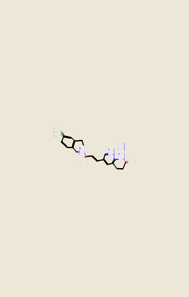 O=C1CCc2cc(C=CC(=O)N3CCc4cc(Br)ccc4C3)cnc2N1